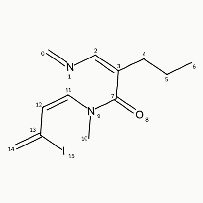 C=N/C=C(/CCC)C(=O)N(C)/C=C\C(=C)I